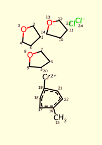 C1CCOC1.C1CCOC1.C1CCOC1.Cc1cc[c]([Cr+2])cc1.[Cl-].[Cl-]